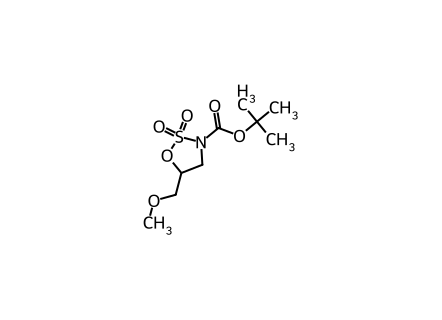 COCC1CN(C(=O)OC(C)(C)C)S(=O)(=O)O1